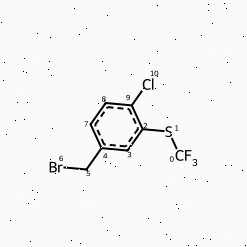 FC(F)(F)Sc1cc(CBr)ccc1Cl